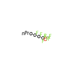 CCCc1ccc(-c2ccc(-c3ccc(-c4cc(F)c(OC(F)(F)C=C(F)F)c(F)c4)c(F)c3)c(F)c2)cc1